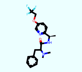 C[C@@H](NC(=O)C(Cc1ccccc1)N(C)C)c1ccc(OCC(F)(F)F)cn1